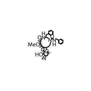 CO[C@H]1[C@H](C)[C@@H](OC2O[C@H](C)C[C@H](N(C)C)[C@H]2O)C(C)CCCN(C(=O)NCc2ccccc2)CC(Cc2ccccc2)NC(=O)[C@@H]1C